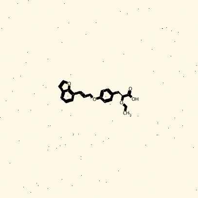 CCO[C@@H](Cc1ccc(OC/C=C/c2cccc3ccoc23)cc1)C(=O)O